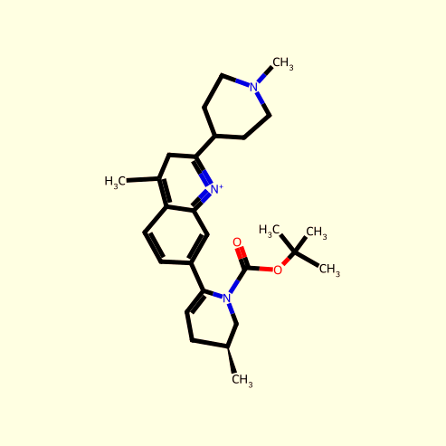 CC1=c2ccc(C3=CC[C@H](C)CN3C(=O)OC(C)(C)C)cc2=[N+]=C(C2CCN(C)CC2)C1